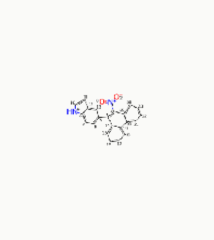 O=[N+]([O-])c1c(-c2ccc3[nH]ccc3c2)c2ccccc2c2ccccc12